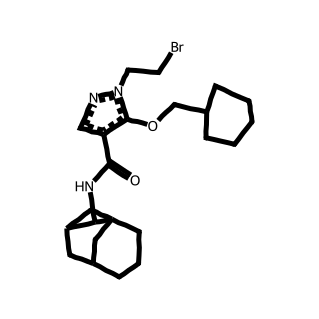 O=C(NC1C2CC3CCCC1(C3)C2)c1cnn(CCBr)c1OCC1CCCCC1